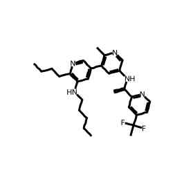 C=C(Nc1cnc(C)c(-c2cnc(CCCC)c(NCCCCC)c2)c1)c1cc(C(C)(F)F)ccn1